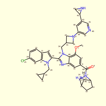 COc1cc(C(=O)N2CC3CCC2[C@@H]3N)cc2nc(-c3cc4ccc(Cl)cc4n3CC3CC3)n(CC3CN(c4cncc(C5CN5)c4)C3)c12